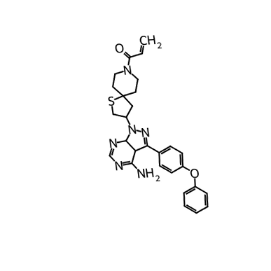 C=CC(=O)N1CCC2(CC1)CC(N1N=C(c3ccc(Oc4ccccc4)cc3)C3C(N)=NC=NC31)CS2